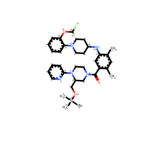 Cc1cc(C)c(C(=O)N2CCN(c3ccccn3)C(CO[Si](C)(C)C(C)(C)C)C2)cc1NC1CCN(c2ccccc2OC(F)F)CC1